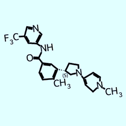 Cc1ccc(C(=O)Nc2cncc(C(F)(F)F)c2)cc1[C@@H]1CCN(C2=CCN(C)C=C2)C1